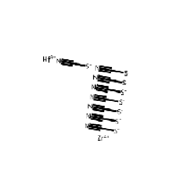 N#C[S-].N#C[S-].N#C[S-].N#C[S-].N#C[S-].N#C[S-].N#C[S-].N#C[S-].[Hf+4].[Zr+4]